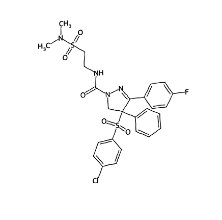 CN(C)S(=O)(=O)CCNC(=O)N1CC(c2ccccc2)(S(=O)(=O)c2ccc(Cl)cc2)C(c2ccc(F)cc2)=N1